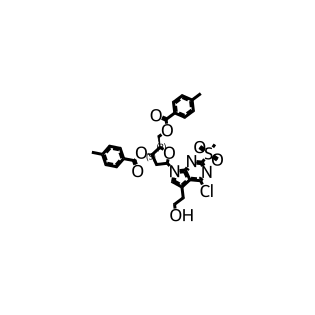 Cc1ccc(C(=O)OC[C@H]2OC(n3cc(CCO)c4c(Cl)nc(S(C)(=O)=O)nc43)C[C@@H]2OC(=O)c2ccc(C)cc2)cc1